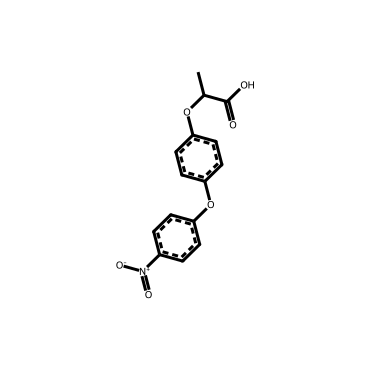 CC(Oc1ccc(Oc2ccc([N+](=O)[O-])cc2)cc1)C(=O)O